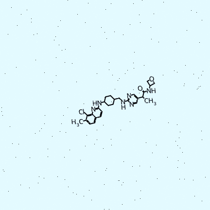 Cc1ccc2ccc(NC3CCC(CNc4ncc(C(C)C(=O)NC5COC5)cn4)CC3)nc2c1Cl